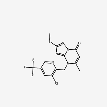 CSc1nc2n(Cc3ncc(C(F)(F)F)cc3Cl)c(C)cc(=O)n2n1